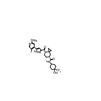 COc1cc(-c2cc(C(=O)N3CC[C@H](C(=O)NC4CCC(O)(C(F)(F)F)CC4)CC34CC4)n[nH]2)c(F)cn1